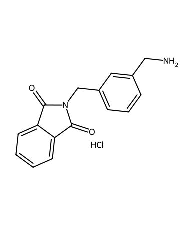 Cl.NCc1cccc(CN2C(=O)c3ccccc3C2=O)c1